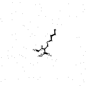 CCCCSCC(NC=O)C(=O)O